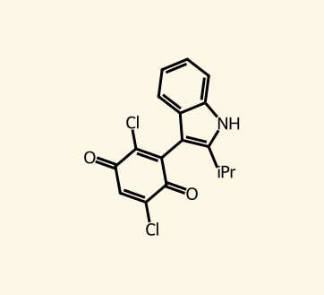 CC(C)c1[nH]c2ccccc2c1C1=C(Cl)C(=O)C=C(Cl)C1=O